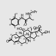 CCCNC(C)C(=O)Nc1ccccc1C.C[C@]12CCC(=O)C=C1CC[C@@H]1[C@@H]2[C@@H](O)C[C@@]2(C)[C@H]1CC[C@]2(O)C(=O)CO